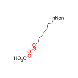 CCCCCCCCCCCCCCCCOOOOC(=O)O